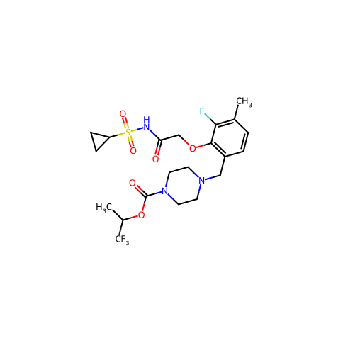 Cc1ccc(CN2CCN(C(=O)OC(C)C(F)(F)F)CC2)c(OCC(=O)NS(=O)(=O)C2CC2)c1F